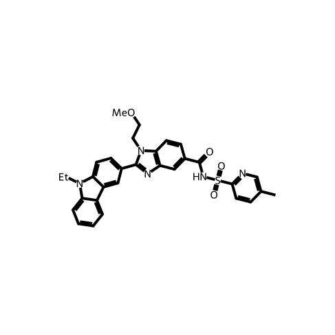 CCn1c2ccccc2c2cc(-c3nc4cc(C(=O)NS(=O)(=O)c5ccc(C)cn5)ccc4n3CCOC)ccc21